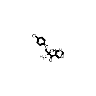 CC(C)(COc1ccc(Cl)cc1)C(=O)c1cncnc1